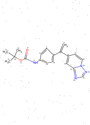 C=C(c1ccc(NC(=O)OC(C)(C)C)cc1)c1ccn2ncnc2c1